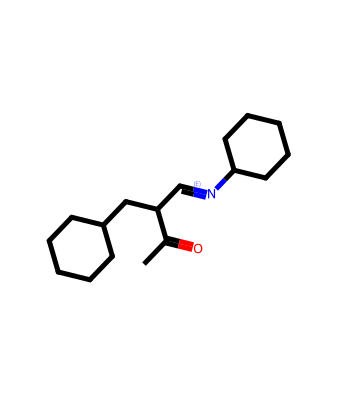 CC(=O)C(/C=N/C1CCCCC1)CC1CCCCC1